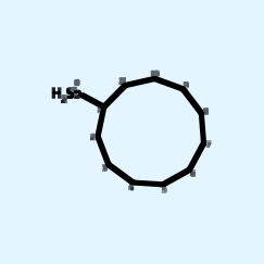 [SbH2][CH]1CCCCCCCCCC1